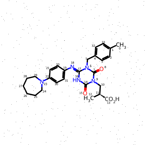 Cc1ccc(Cn2c(=O)n(C[C@H](C)C(=O)O)c(=O)[nH]/c2=N\c2ccc(N3CCCCCC3)cc2)cc1